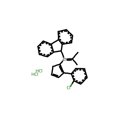 C[C](C)=[Zr]([C]1=C(c2ccccc2Cl)C=CC1)[CH]1c2ccccc2-c2ccccc21.Cl.Cl